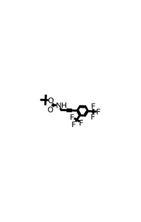 CC(C)(C)OC(=O)NCC#Cc1ccc(C(F)(F)F)cc1C(F)(F)F